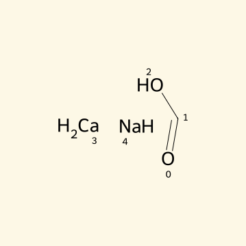 O=CO.[CaH2].[NaH]